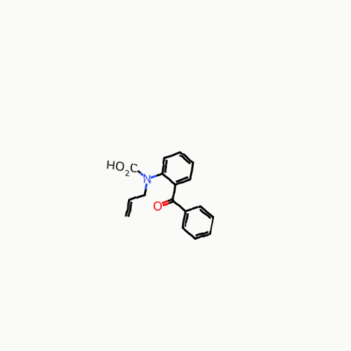 C=CCN(C(=O)O)c1ccccc1C(=O)c1ccccc1